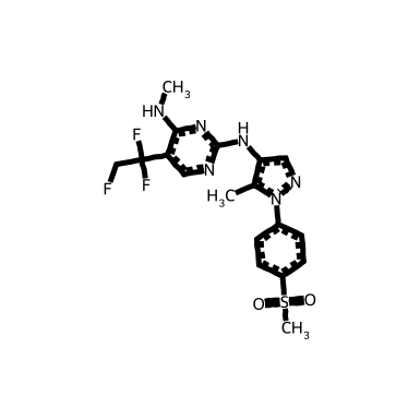 CNc1nc(Nc2cnn(-c3ccc(S(C)(=O)=O)cc3)c2C)ncc1C(F)(F)CF